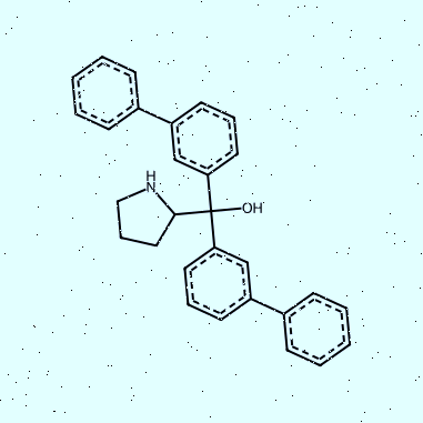 OC(c1cccc(-c2ccccc2)c1)(c1cccc(-c2ccccc2)c1)C1CCCN1